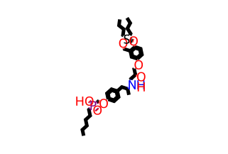 CCCCCCP(=O)(O)COc1ccc(CC(C)NCC(O)COc2ccc3c(c2)CO[Si](CCCC)(CCCC)O3)cc1